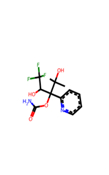 CC(C)(O)C(OC(N)=O)(c1ccccn1)C(O)C(F)(F)F